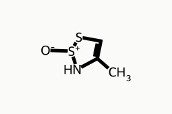 CC1=CS[S+]([O-])N1